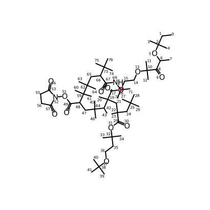 CCC(C)(C)OC(C)C(=O)C(C)(C)OCCOC(=O)C(C)(CC(C)(CC(C)(C)C)C(=O)OC(C)(C)CCOC(C)(C)C)C(C)C(C)(C)CC(C(=O)ON1C(=O)CCC1=O)C(C)(C)C(C)(C)CC(C(=O)NC(C)C)C(C)(C)C